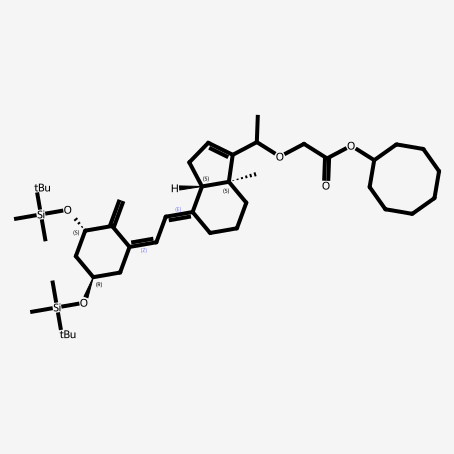 C=C1/C(=C\C=C2/CCC[C@]3(C)C(C(C)OCC(=O)OC4CCCCCCC4)=CC[C@@H]23)C[C@@H](O[Si](C)(C)C(C)(C)C)C[C@@H]1O[Si](C)(C)C(C)(C)C